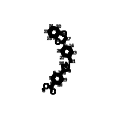 COC(=O)c1ccc(C2CN(Cc3ccc([C@H]4COc5ccccc5O4)cc3)C2)cc1